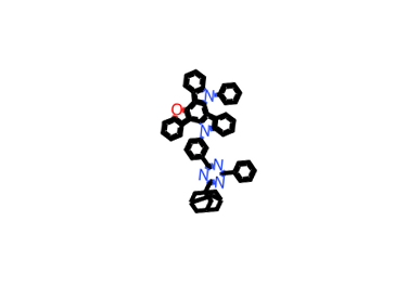 c1ccc(-c2nc(-c3cccc(-n4c5ccccc5c5c6c(c7ccccc7n6-c6ccccc6)c6oc7ccccc7c6c54)c3)nc(C34CC5CC(CC(C5)C3)C4)n2)cc1